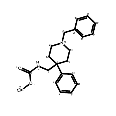 CC(C)(C)OC(=O)NCC1(c2ccccc2)CCN(Cc2ccccc2)CC1